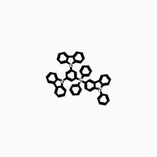 c1ccc(-n2c3ccccc3c3cc([Si](c4ccccc4)(c4ccccc4)c4cc(-n5c6ccccc6c6ccccc65)cc(-n5c6ccccc6c6ccccc65)c4)ccc32)cc1